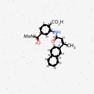 CNC(=O)c1ccc(C(=O)O)c(NC(=O)/C=C(/C)c2ccc3ccccc3c2)c1